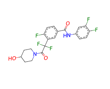 O=C(Nc1ccc(F)c(F)c1)c1ccc(F)c(C(F)(F)C(=O)N2CCC(O)CC2)c1